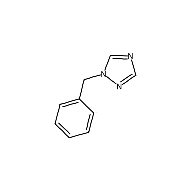 [c]1ccccc1Cn1cncn1